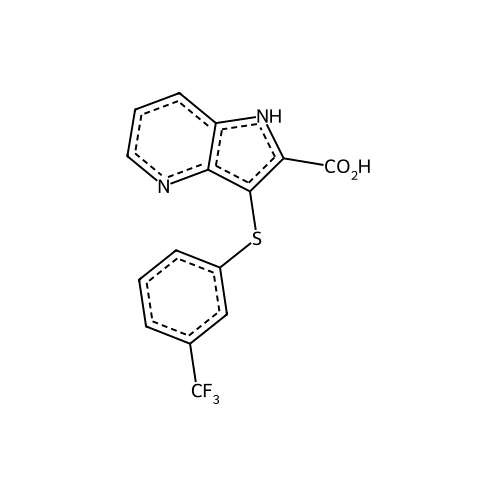 O=C(O)c1[nH]c2cccnc2c1Sc1cccc(C(F)(F)F)c1